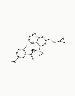 COc1ccc(C)c(C(=O)NC2(c3cc(/C=C/C4CC4)cc4ncccc34)CC2)c1